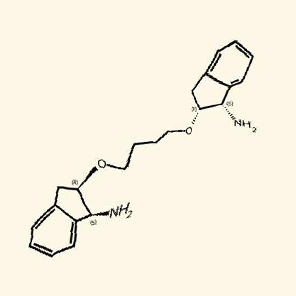 N[C@H]1c2ccccc2C[C@H]1OCCCCO[C@@H]1Cc2ccccc2[C@@H]1N